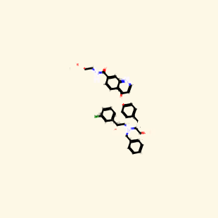 COCCNC(=O)c1ccc2c(Oc3ccc(C[C@@H](CO)N(Cc4ccccc4)C[C@H](O)c4cccc(Cl)c4)cc3)ccnc2c1